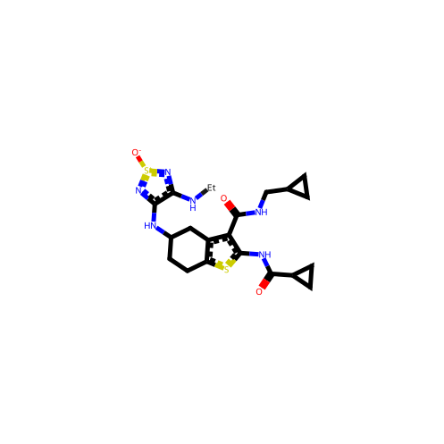 CCNc1n[s+]([O-])nc1NC1CCc2sc(NC(=O)C3CC3)c(C(=O)NCC3CC3)c2C1